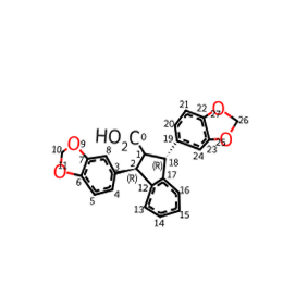 O=C(O)C1[C@H](c2ccc3c(c2)OCO3)c2ccccc2[C@H]1c1ccc2c(c1)OCO2